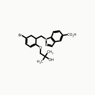 CC(C)(O)COC1=CC=C(Br)CC1Cn1ncc2cc(C(=O)O)ccc21